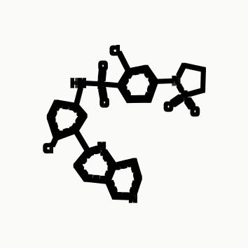 O=S(=O)(Nc1ccc(Cl)c(-c2ccc3cnccc3n2)c1)c1ccc(N2CCCS2(=O)=O)cc1Cl